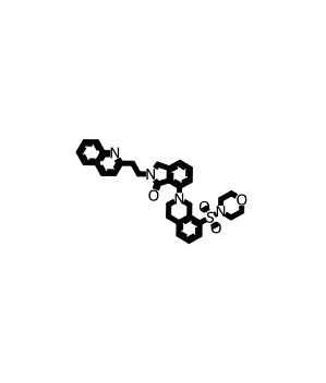 O=C1c2c(cccc2N2CCc3cccc(S(=O)(=O)N4CCOCC4)c3C2)CN1CCc1ccc2ccccc2n1